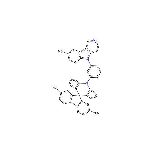 N#Cc1ccc2c(c1)C1(c3cc(C#N)ccc3-2)c2ccccc2N(c2cccc(-n3c4ccncc4c4cc(C#N)ccc43)c2)c2ccccc21